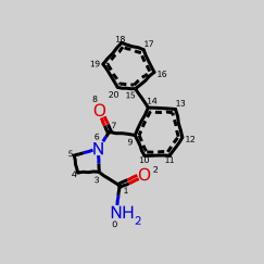 NC(=O)C1CCN1C(=O)c1ccccc1-c1ccccc1